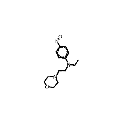 CCN(CCN1CCOCC1)c1ccc(N=O)cc1